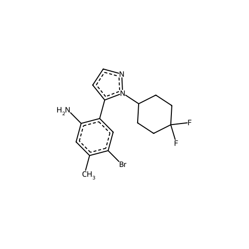 Cc1cc(N)c(-c2ccnn2C2CCC(F)(F)CC2)cc1Br